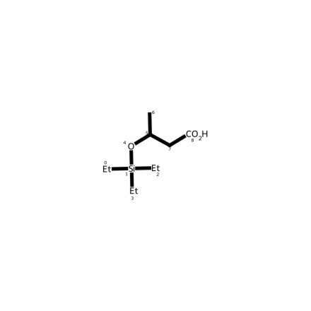 CC[Si](CC)(CC)OC(C)CC(=O)O